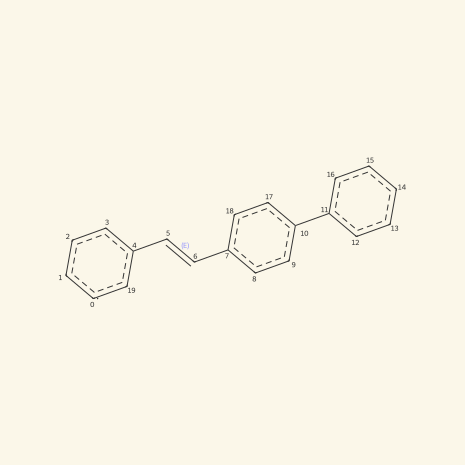 [c]1cccc(/C=C/c2ccc(-c3ccccc3)cc2)c1